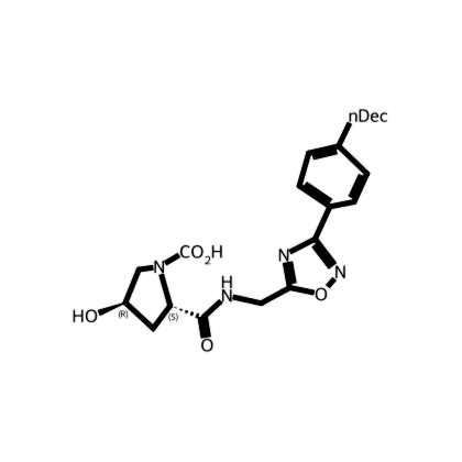 CCCCCCCCCCc1ccc(-c2noc(CNC(=O)[C@@H]3C[C@@H](O)CN3C(=O)O)n2)cc1